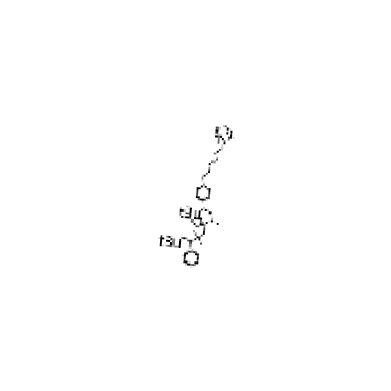 CC(CC(c1ccc(CCCCCC[N+]23CCC(CC2)C3)cc1)C(C)(C)C)C(=O)CC(C)(C)C(CC(C)(C)C)c1ccccc1